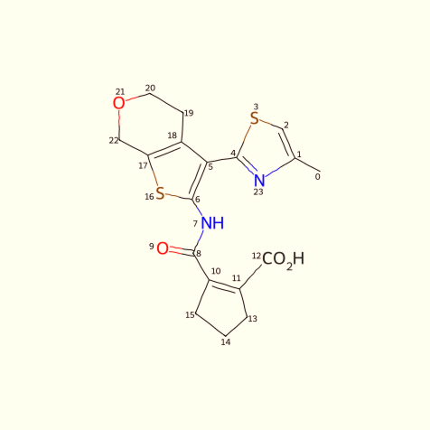 Cc1csc(-c2c(NC(=O)C3=C(C(=O)O)CCC3)sc3c2CCOC3)n1